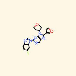 Fc1ccc2ncn(-c3ncc4nc(-c5ccoc5)n(C5CCOCC5)c4n3)c2c1